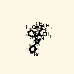 COC(=O)[C@@H](OC(C)(C)C)c1c(C)nc2cc(-c3cccc(Br)c3)nn2c1N1C2CCCC1CC2